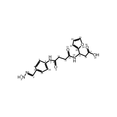 NN=Cc1ccc(NC(=O)CCC(=O)NC(CC(=O)O)c2ccco2)cc1